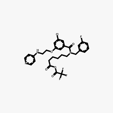 O=C(CCCCCN(Cc1cccc(F)c1)C(=O)c1cc(Cl)cc(OCCNc2ccncc2)c1)OC(=O)C(F)(F)F